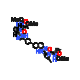 COC(=O)N[C@H](C(=O)N1C2C(C)C2C[C@H]1c1nc2ccc3cc(-c4ccc(-c5cnc([C@@H]6[C@H]7CC[C@H](C7)N6C(=O)[C@@H](NC(=O)OC)[C@@H](C)OC)[nH]5)cc4)ccc3c2[nH]1)C(C)C